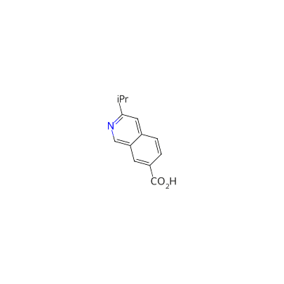 CC(C)c1cc2ccc(C(=O)O)cc2cn1